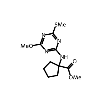 COC(=O)C1(Nc2nc(OC)nc(SC)n2)CCCC1